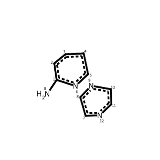 Nc1ccccn1.c1cnccn1